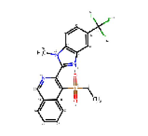 CCS(=O)(=O)c1c(-c2nc3cc(C(F)(F)F)ccc3n2C)ncc2ccccc12